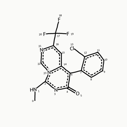 CNc1nc(=O)c(-c2ccccc2Cl)c2cc(C(F)(F)F)ncn12